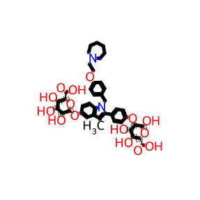 Cc1c(-c2ccc(O[C@@H]3[C@@H](O)[C@H](O)[C@@H](C(=O)O)O[C@H]3O)cc2)n(Cc2ccc(OCCN3CCCCCC3)cc2)c2ccc(O[C@@H]3O[C@H](C(=O)O)[C@@H](O)[C@H](O)[C@H]3O)cc12